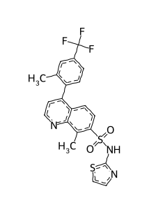 Cc1cc(C(F)(F)F)ccc1-c1ccnc2c(C)c(S(=O)(=O)Nc3nccs3)ccc12